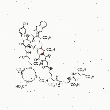 O=C(O)CC[C@H](NC(=O)N[C@@H](CCC(=O)N[C@@H](CCCNC(=O)C[C@@H](NC(=O)c1cc(C(=O)O)cc(C(=O)O)c1)C(=O)NCCCC[C@@H](NC(=O)[C@@H](Cc1ccc2ccccc2c1)NC(=O)[C@@H](Cc1ccc(O)cc1)NC(=O)CNC(=O)CCC(C(=O)O)N1CCN(CC(=O)O)CCN(CC(=O)O)CCN(CC(=O)O)CC1)C(=O)O)C(=O)O)C(=O)O)C(=O)O